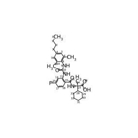 CCCCc1cc(C)c(NC(=O)Nc2cc(F)ccc2C(=O)N[C@](C)(C(=O)O)C2CCCCC2)c(C)c1